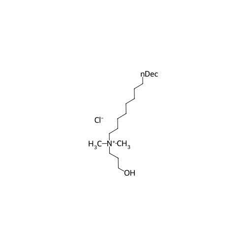 CCCCCCCCCCCCCCCCCC[N+](C)(C)CCCO.[Cl-]